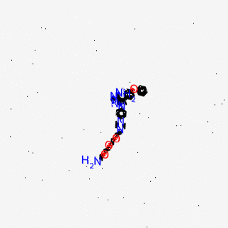 NCCOCCOCCOCCN1CCN([C@H]2CC[C@@H](n3cc(-c4ccc(Oc5ccccc5)cc4)c4c(N)ncnc43)CC2)CC1